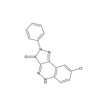 O=c1c2n[nH]c3ccc(Cl)cc3c-2nn1-c1ccccc1